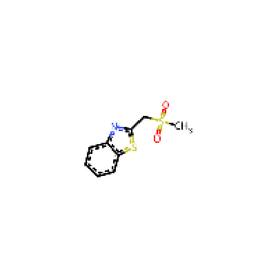 CS(=O)(=O)Cc1nc2ccccc2s1